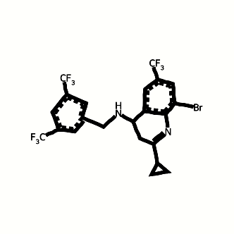 FC(F)(F)c1cc(CNC2CC(C3CC3)=Nc3c(Br)cc(C(F)(F)F)cc32)cc(C(F)(F)F)c1